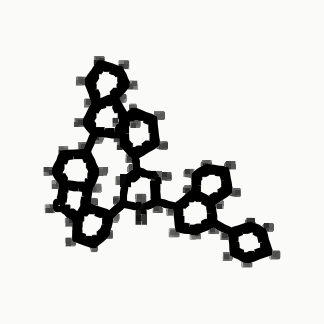 c1ccc(C2=NC(c3cccc4oc5ccc(-c6ccc7ccccc7c6)cc5c34)NC(c3ccc(-c4ccccc4)c4ccccc34)=N2)cc1